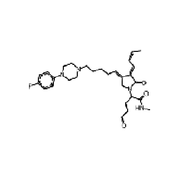 C\C=C/C=C1/C(=O)N(C(CCC=O)C(=O)NC)C/C1=C\CCCCN1CCN(c2ccc(F)cc2)CC1